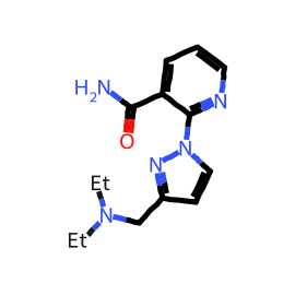 CCN(CC)Cc1ccn(-c2ncccc2C(N)=O)n1